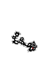 c1ccc(-c2cccc(-c3cccc(C4Cc5ccc(-c6ccc7c(c6)c6ccccc6n7-c6cccc7c6-c6ccccc6CO7)cc5-c5ccccc54)c3)c2)cc1